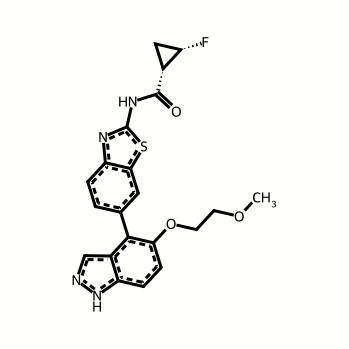 COCCOc1ccc2[nH]ncc2c1-c1ccc2nc(NC(=O)[C@@H]3C[C@@H]3F)sc2c1